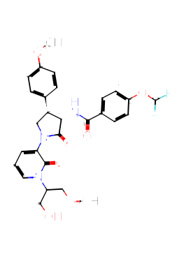 COCC(CO)n1cccc(N2C[C@@H](c3ccc(OC)cc3)[C@H](NC(=O)c3ccc(OC(F)F)cc3)C2=O)c1=O